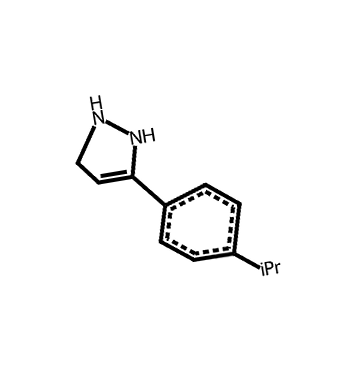 CC(C)c1ccc(C2=CCNN2)cc1